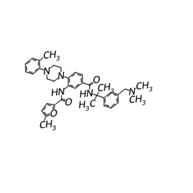 Cc1ccc(C(=O)Nc2cc(C(=O)NC(C)(C)c3cccc(CN(C)C)c3)ccc2N2CCN(c3ccccc3C)CC2)o1